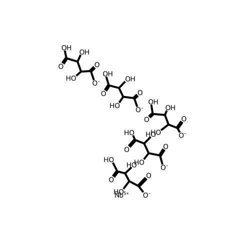 O=C([O-])C(O)C(O)C(=O)O.O=C([O-])C(O)C(O)C(=O)O.O=C([O-])C(O)C(O)C(=O)O.O=C([O-])C(O)C(O)C(=O)O.O=C([O-])C(O)C(O)C(=O)O.[Nb+5]